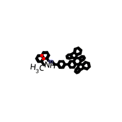 CC(N/C(=C\CC1=CC=C(C2=CC3=C(CC2)C2(c4ccccc4-c4ccccc42)c2ccccc2C32C3=C(CCC=C3)c3ccccc32)CC1)c1ccccc1)c1ccccc1